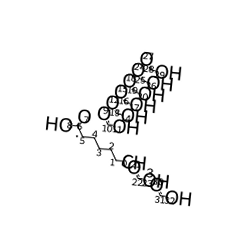 CCCCC[CH]C(=O)O.O=CO.O=CO.O=CO.O=CO.O=CO.O=CO.O=CO.O=CO